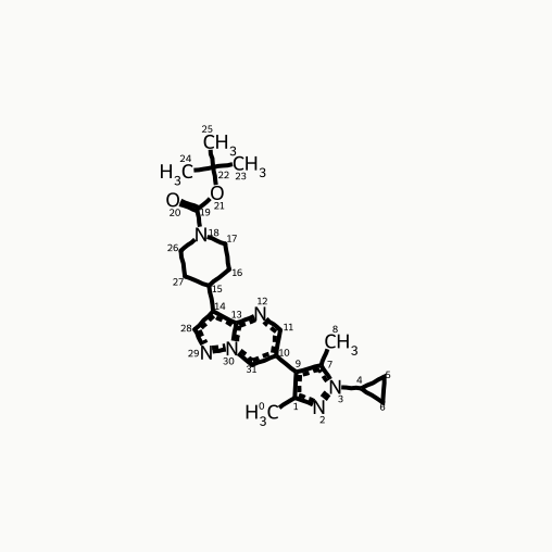 Cc1nn(C2CC2)c(C)c1-c1cnc2c(C3CCN(C(=O)OC(C)(C)C)CC3)cnn2c1